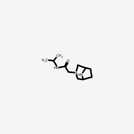 CC(C)NC(=O)CN1CC2CCC(C1)N2